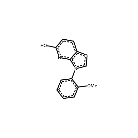 COc1ccccc1-n1cnc2ccc(O)nc21